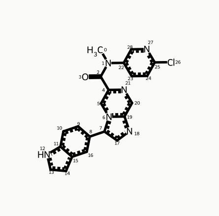 CN(C(=O)c1cn2c(-c3ccc4[nH]ccc4c3)cnc2cn1)c1ccc(Cl)nc1